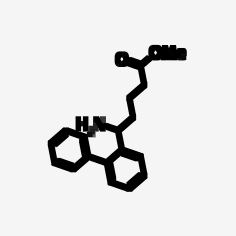 COC(=O)CCCC(N)c1ccccc1-c1ccccc1